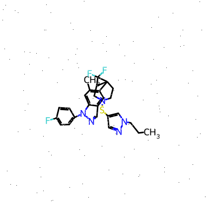 CCCn1cc(SN2CCC3(c4cc5cnn(-c6ccc(F)cc6)c5cc4C)C(C2)C3(F)F)cn1